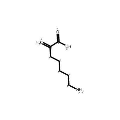 C=C(CCCCCN)C(=O)O